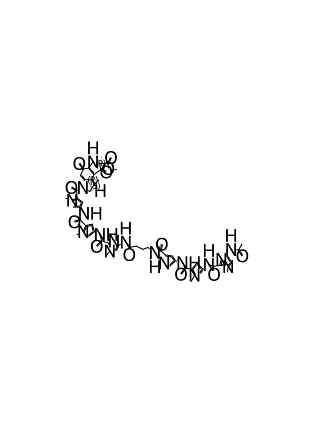 COC(=O)[C@]1(C)NC2=C(C1=O)[C@@]13C[C@@H]1CN(C(=O)c1cc(NC(=O)c4cc(NC(=O)c5nc(NC(=O)CCCNC(=O)c6cc(NC(=O)c7cc(NC(=O)c8nc(NC(C)=O)cn8C)cn7C)cn6C)cn5C)cn4C)cn1C)C3=CC2=O